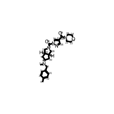 Cc1ccc(CN(C)[C@@H]2C[C@@H]3CN(C(=O)n4cc(C(=O)N5CCOCC5)cn4)C[C@@H]3C2)cc1